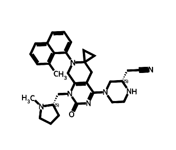 Cc1cccc2cccc(N3Cc4c(c(N5CCN[C@@H](CC#N)C5)nc(=O)n4C[C@@H]4CCCN4C)CC34CC4)c12